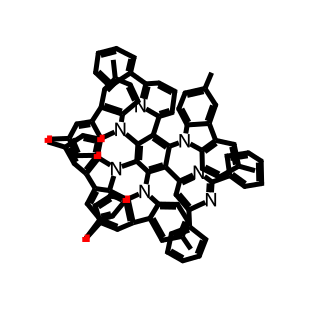 Cc1ccc2c(c1)c1cc(C)ccc1n2-c1c(-c2cccc(-c3ccccc3)n2)c(-n2c3ccc(C)cc3c3cc(C)ccc32)c(-n2c3ccc(C)cc3c3cc(C)ccc32)c(-n2c3ccc(C)cc3c3cc(C)ccc32)c1-c1cc(-c2ccccc2)nc(-c2ccccc2)n1